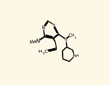 C=Cc1c(NC)ncnc1N(C)C1CCCNC1